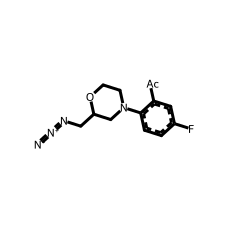 CC(=O)c1cc(F)ccc1N1CCOC(CN=[N+]=[N-])C1